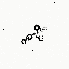 CCOc1ccccc1CN(CC1CCN(C2CCCC2)CC1)CC1CCCO1